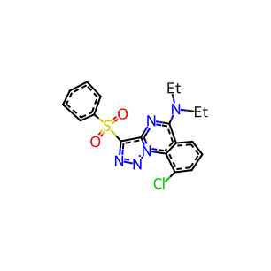 CCN(CC)c1nc2c(S(=O)(=O)c3ccccc3)nnn2c2c(Cl)cccc12